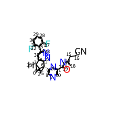 CC1(C)[C@H]2CC[C@]1(c1cncc(-c3nc(CCC#N)co3)n1)c1nnc(-c3c(F)cccc3F)cc12